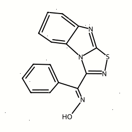 ON=C(c1ccccc1)c1nsc2nc3ccccc3n12